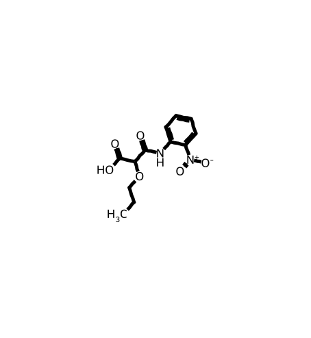 CCCOC(C(=O)O)C(=O)Nc1ccccc1[N+](=O)[O-]